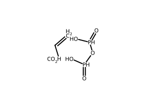 C=CC(=O)O.O=[PH](O)O[PH](=O)O